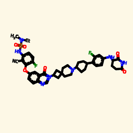 CCN(C)S(=O)(=O)Nc1ccc(F)c(Oc2ccc3ncn(C4CC5(CCN(C6CCC(c7ccc(NC8CCC(=O)NC8=O)cc7F)CC6)CC5)C4)c(=O)c3c2)c1C#N